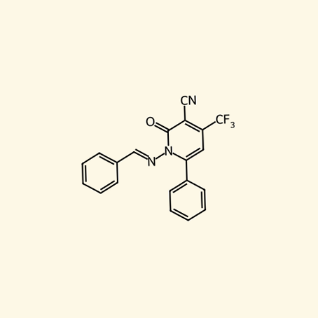 N#Cc1c(C(F)(F)F)cc(-c2ccccc2)n(N=Cc2ccccc2)c1=O